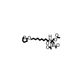 CC(=O)OCC(COC(C)=O)(COC(C)=O)NC(=O)CCCCCCCCOC1CCCCO1